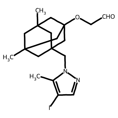 Cc1c(I)cnn1CC12CC3(C)CC(C)(C1)CC(OCC=O)(C3)C2